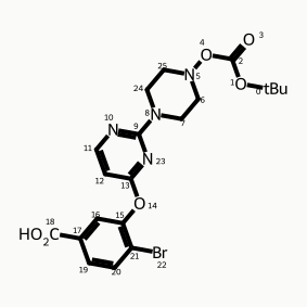 CC(C)(C)OC(=O)ON1CCN(c2nccc(Oc3cc(C(=O)O)ccc3Br)n2)CC1